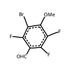 COc1c(F)c(F)c(C=O)c(F)c1Br